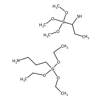 CCC(S)[Si](OC)(OC)OC.CCO[Si](CCCN)(OCC)OCC